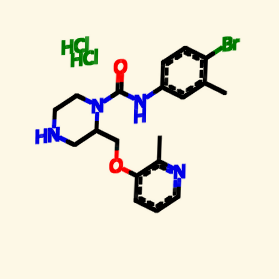 Cc1cc(NC(=O)N2CCNCC2COc2cccnc2C)ccc1Br.Cl.Cl